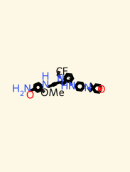 COc1cc(C(N)=O)ccc1NCC#Cc1cc2c(NC3CCC(N4CC5(CCOCC5)C4)CC3)cccc2n1CC(F)(F)F